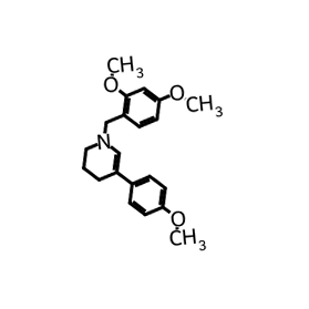 COc1ccc(C2=CN(Cc3ccc(OC)cc3OC)CCC2)cc1